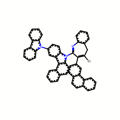 CCC1=C(c2ccc3ccc4ccccc4c3c2)C(n2c3ccc(-n4c5ccccc5c5ccccc54)cc3c3c4ccccc4ccc32)=Nc2ccccc2C1